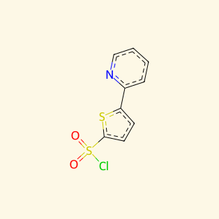 O=S(=O)(Cl)c1ccc(-c2ccccn2)s1